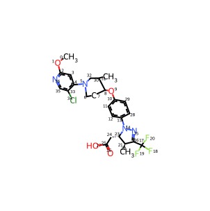 COc1cc(N2CCC(Oc3ccc(N4N=C(C(F)(F)F)[C@@H](C)[C@@H]4CC(=O)O)cc3)C(C)C2)c(Cl)cn1